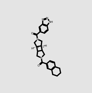 O=C(c1ccc2c(c1)CCCC2)N1CC2C(C1)[C@@H]1CN(C(=O)c3ccc4[nH]nnc4c3)C[C@H]21